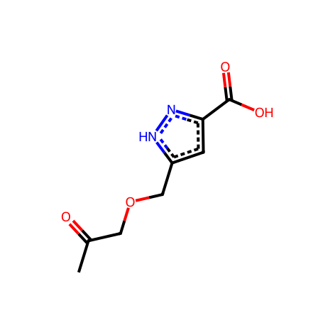 CC(=O)COCc1cc(C(=O)O)n[nH]1